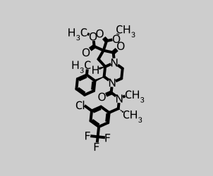 COC(=O)C1(C(=O)OC)C[C@H]2[C@H](c3ccccc3C)N(C(=O)N(C)[C@H](C)c3cc(Cl)cc(C(F)(F)F)c3)CCN2C1=O